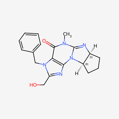 CN1C(=O)c2c(nc(CO)n2Cc2ccccc2)N2C1=N[C@H]1CCC[C@H]12